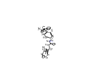 CS(=O)(=O)c1ccc(/C=C/C(=O)CCN2CCOCC2)cc1